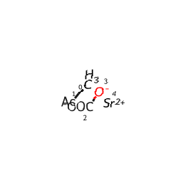 CC(C)=O.O=C([O-])[O-].[Sr+2]